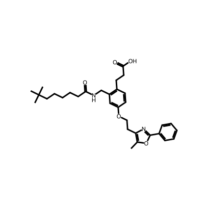 Cc1oc(-c2ccccc2)nc1CCOc1ccc(CCC(=O)O)c(CNC(=O)CCCCCC(C)(C)C)c1